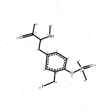 CNC(Cc1ccc(OP(C)(C)=O)c(CF)c1)C(C)=O